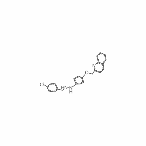 Clc1ccc(CNNc2ccc(OCc3ccc4ccccc4n3)cc2)cc1